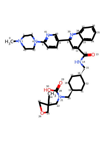 CN1CCN(c2ccc(-c3cc(C(=O)NC[C@H]4CC[C@H](CN(CC5(C)COC5)C(=O)O)CC4)c4ccccc4n3)cn2)CC1